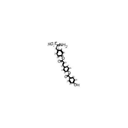 N[C@@H](Cc1ccc(OC(=O)C=Cc2ccc(OC(=O)c3ccc(O)cc3)cc2)cc1)C(=O)O